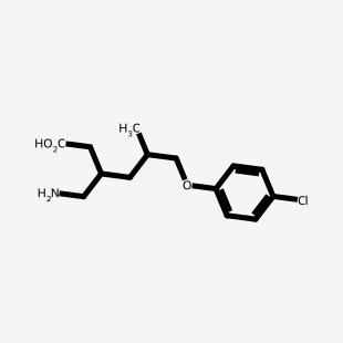 CC(COc1ccc(Cl)cc1)CC(CN)CC(=O)O